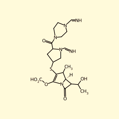 CC(O)C1C(=O)N2C(OC(=O)O)=C(SC3CC(C(=O)N4CCN(C=N)CC4)N(C=N)C3)C(C)[C@@H]12